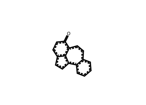 O=c1ccc2ccc3c4ccccc4ccc1c23